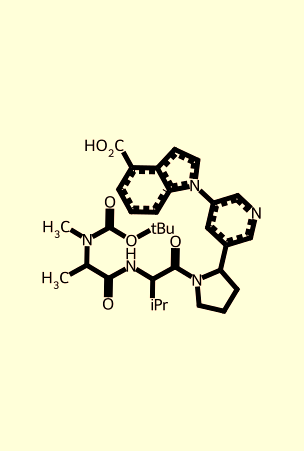 CC(C)C(NC(=O)C(C)N(C)C(=O)OC(C)(C)C)C(=O)N1CCCC1c1cncc(-n2ccc3c(C(=O)O)cccc32)c1